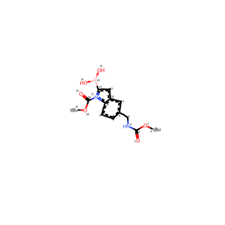 CC(C)(C)OC(=O)NCc1ccc2c(c1)cc(B(O)O)n2C(=O)OC(C)(C)C